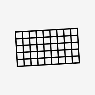 C1C2C3C4C5CC6C7C8C9C%10C%11C%12C%13CC%14C%15C%16C%17CC%18C%19C%20C%21C%22C%23C%24C1C21C32C43C56C74C85C96C%107C%118C%129C%14%13C%15%10C%16%11C%17%18C%19%12C%20%13C%21%14C%22%15C%23%16C%241C21C34C52C%161C%151C%143C%134C%11%12C%109C84C73C621